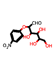 O=CC(Oc1ccc([N+](=O)[O-])cc1)C(O)C(O)C(O)CO